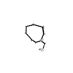 CCN1CC[CH]CCCC1